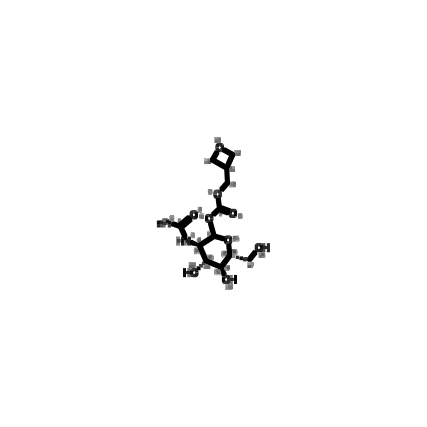 CCCC(=O)N[C@H]1C(OC(=O)OCC2COC2)O[C@H](CO)[C@@H](O)[C@@H]1O